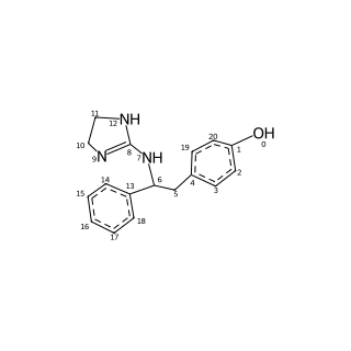 Oc1ccc(CC(NC2=NCCN2)c2ccccc2)cc1